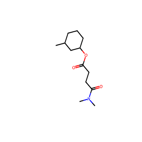 CC1CCCC(OC(=O)CCC(=O)N(C)C)C1